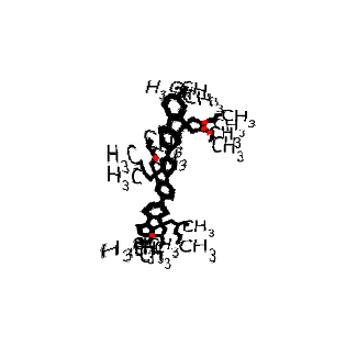 CCCCC(CC)CC1(CC(CC)CCCC)c2cc(-c3ccc4c(c3)C(CC(C)CC)(CC(C)CC)c3cc(-c5ccc6c(c5)C(CC(CC)CCCC)(CC(CC)CCCC)c5cc([Si](C)(C)C)ccc5-6)ccc3-4)ccc2-c2ccc([Si](C)(C)C)cc21